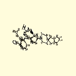 Nc1nc(N2CCC3(CC2)Cc2ccccc2C3)cnc1Sc1ccnc(Cl)c1C1CC1